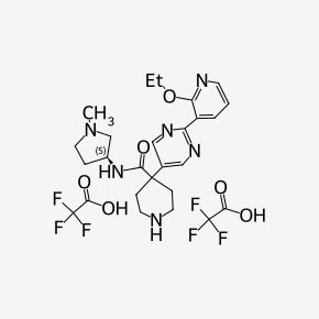 CCOc1ncccc1-c1ncc(C2(C(=O)N[C@H]3CCN(C)C3)CCNCC2)cn1.O=C(O)C(F)(F)F.O=C(O)C(F)(F)F